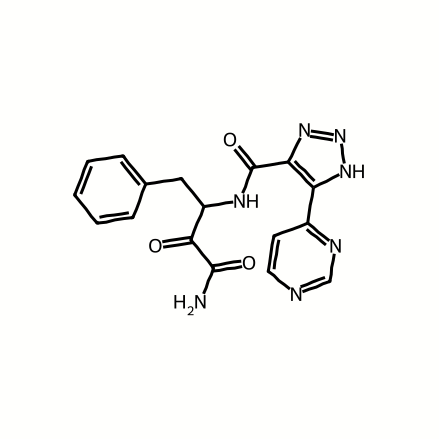 NC(=O)C(=O)C(Cc1ccccc1)NC(=O)c1nn[nH]c1-c1ccncn1